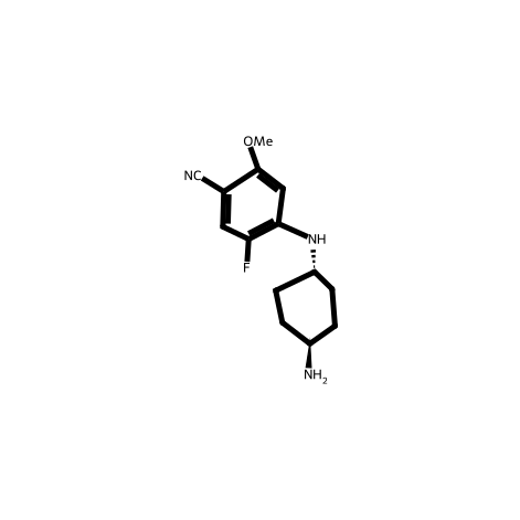 COc1cc(N[C@H]2CC[C@H](N)CC2)c(F)cc1C#N